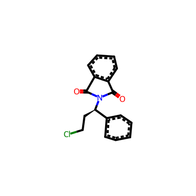 O=C1c2ccccc2C(=O)N1[C@H](CCCl)c1ccccc1